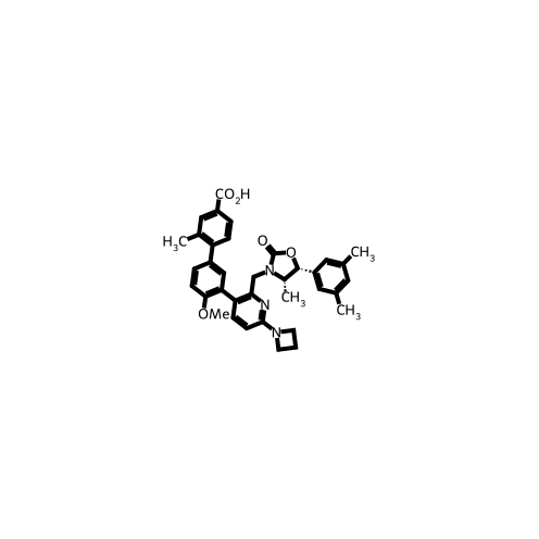 COc1ccc(-c2ccc(C(=O)O)cc2C)cc1-c1ccc(N2CCC2)nc1CN1C(=O)O[C@H](c2cc(C)cc(C)c2)[C@@H]1C